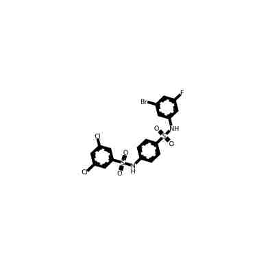 O=S(=O)(Nc1cc(F)cc(Br)c1)c1ccc(NS(=O)(=O)c2cc(Cl)cc(Cl)c2)cc1